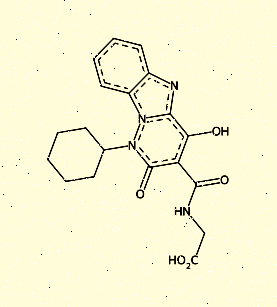 O=C(O)CNC(=O)c1c(O)c2nc3ccccc3n2n(C2CCCCC2)c1=O